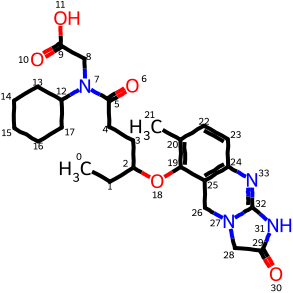 CCC(CCC(=O)N(CC(=O)O)C1CCCCC1)Oc1c(C)ccc2c1CN1CC(=O)NC1=N2